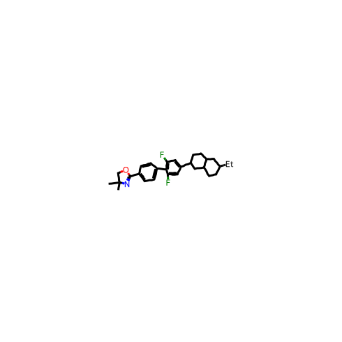 CCC1CCC2CC(c3cc(F)c(-c4ccc(C5=NC(C)(C)CO5)cc4)c(F)c3)CCC2C1